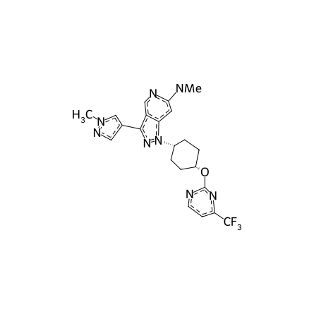 CNc1cc2c(cn1)c(-c1cnn(C)c1)nn2[C@H]1CC[C@@H](Oc2nccc(C(F)(F)F)n2)CC1